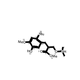 COC(=O)C(CO[SiH](C)C)Cc1cc(O)c(OC)cc1C(C)(C)C